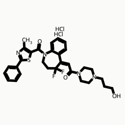 Cc1nc(-c2ccccc2)sc1C(=O)N1CCC(F)(F)/C(=C\C(=O)N2CCN(CCCO)CC2)c2ccccc21.Cl.Cl